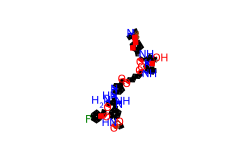 CCS(=O)(=O)Nc1ccc(-c2n[nH]c(Nc3ccc(C(=O)OCCCCC(=O)NC(C(=O)N4C[C@H](O)C[C@H]4C(=O)NCc4ccc(-c5scnc5C)cc4)C(C)(C)C)cn3)c2C(N)=O)cc1OC(C)c1ccc(F)cc1